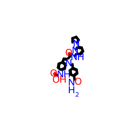 NC(=O)c1ccc(Cn2c(C(=O)Nc3cccc(N4CCCC4)n3)cc3ccc(NC(=O)O)cc32)cc1